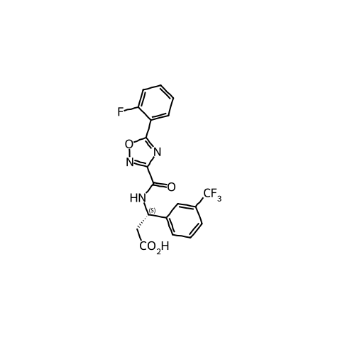 O=C(O)C[C@H](NC(=O)c1noc(-c2ccccc2F)n1)c1cccc(C(F)(F)F)c1